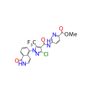 COC(=O)c1ccc(NC(=O)c2c(Cl)nn(-c3cccc4c(=O)[nH]ccc34)c2C(F)(F)F)cn1